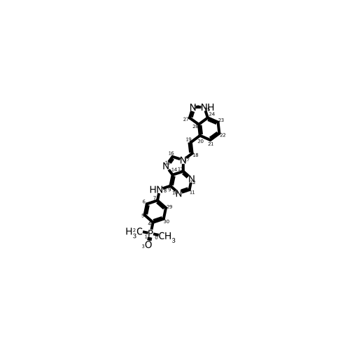 CP(C)(=O)c1ccc(Nc2ncnc3c2ncn3C=Cc2cccc3[nH]ncc23)cc1